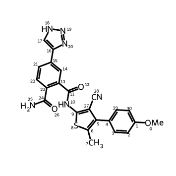 COc1ccc(-c2c(C)sc(NC(=O)c3cc(-c4c[nH]nn4)ccc3C(N)=O)c2C#N)cc1